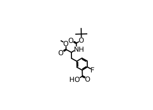 COC(=O)C(Cc1ccc(F)c(C(=O)O)c1)NC(=O)OC(C)(C)C